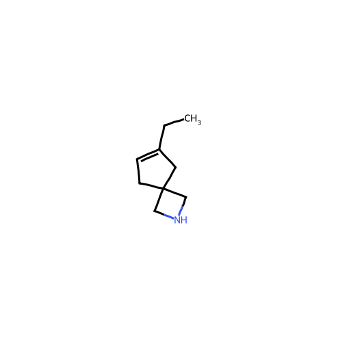 CCC1=CCC2(CNC2)C1